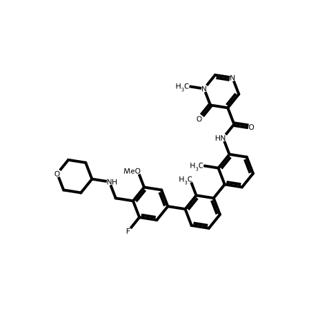 COc1cc(-c2cccc(-c3cccc(NC(=O)c4cncn(C)c4=O)c3C)c2C)cc(F)c1CNC1CCOCC1